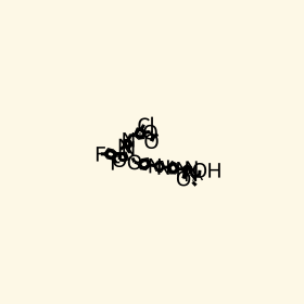 CC[C@@H]([C@H](C)O)n1ncn(-c2ccc(N3CCN(c4ccc(OC[C@@H]5CO[C@@](Cn6c[n+](Cc7ccc(OC(C)=O)c(Cl)c7)cn6)(c6ccc(F)cc6F)C5)cc4)CC3)cc2)c1=O